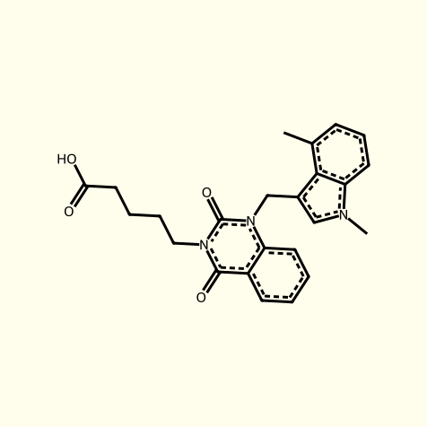 Cc1cccc2c1c(Cn1c(=O)n(CCCCC(=O)O)c(=O)c3ccccc31)cn2C